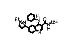 CCn1ccc(-c2ccc3ncc(C(=O)NC(C)(C)C)c(Nc4ccccc4)c3c2)n1